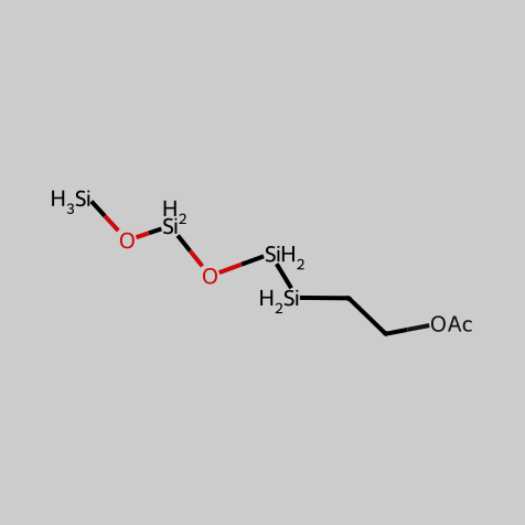 CC(=O)OCC[SiH2][SiH2]O[SiH2]O[SiH3]